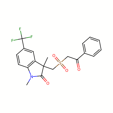 CN1C(=O)C(C)(CS(=O)(=O)CC(=O)c2ccccc2)c2cc(C(F)(F)F)ccc21